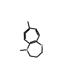 CC1=C=CC2=C(C=C1)OCCCN2C